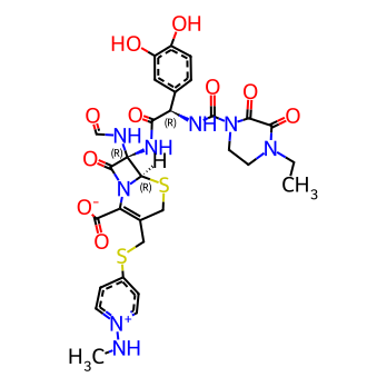 CCN1CCN(C(=O)N[C@@H](C(=O)N[C@]2(NC=O)C(=O)N3C(C(=O)[O-])=C(CSc4cc[n+](NC)cc4)CS[C@@H]32)c2ccc(O)c(O)c2)C(=O)C1=O